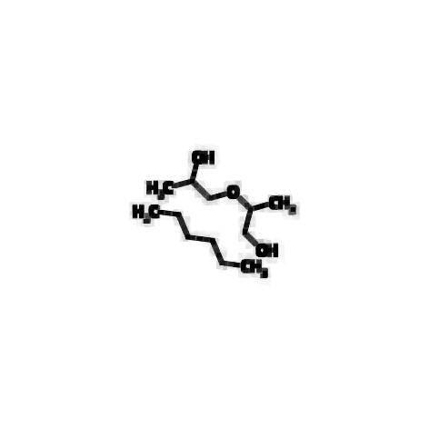 CC(O)COC(C)CO.CCCCCC